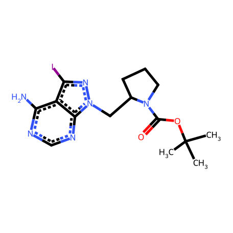 CC(C)(C)OC(=O)N1CCCC1Cn1nc(I)c2c(N)ncnc21